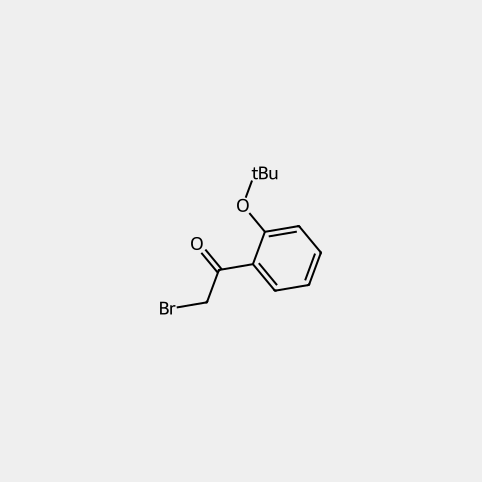 CC(C)(C)Oc1ccccc1C(=O)CBr